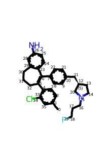 Cc1ccc(C2=C(c3ccc(C[C@H]4CCN(CCCF)C4)cc3)c3ccc(N)cc3CCC2)c(Cl)c1